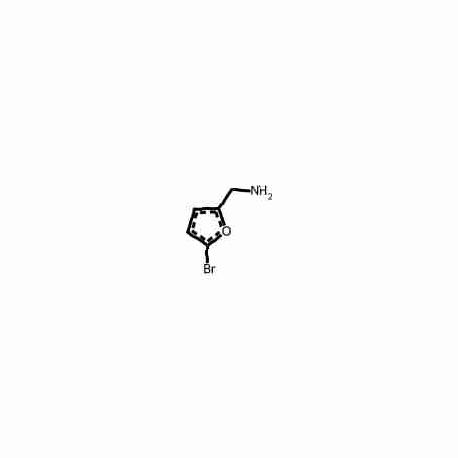 NCc1ccc(Br)o1